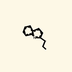 CC[CH]c1ccc2ccccc2n1